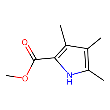 COC(=O)c1[nH]c(C)c(C)c1C